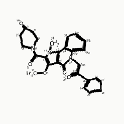 COc1c(C(=O)N2CCC(=O)CC2)n(C)c2c1c(=O)n(CC(=O)c1ccccc1)c1ccccc21